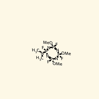 COP1(F)=NP(F)(OC)=NP(F)(N(C)C)=NP(F)(OC)=N1